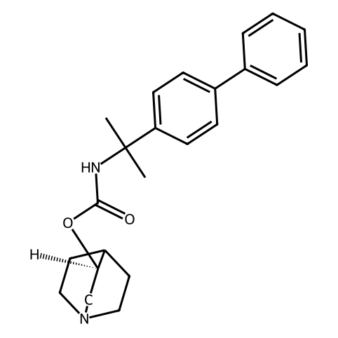 CC(C)(NC(=O)O[C@@H]1CN2CCC1CC2)c1ccc(-c2ccccc2)cc1